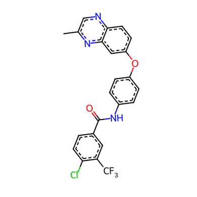 Cc1cnc2ccc(Oc3ccc(NC(=O)c4ccc(Cl)c(C(F)(F)F)c4)cc3)cc2n1